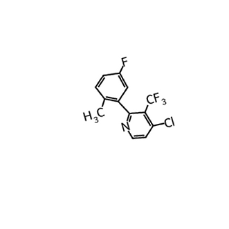 Cc1ccc(F)cc1-c1nccc(Cl)c1C(F)(F)F